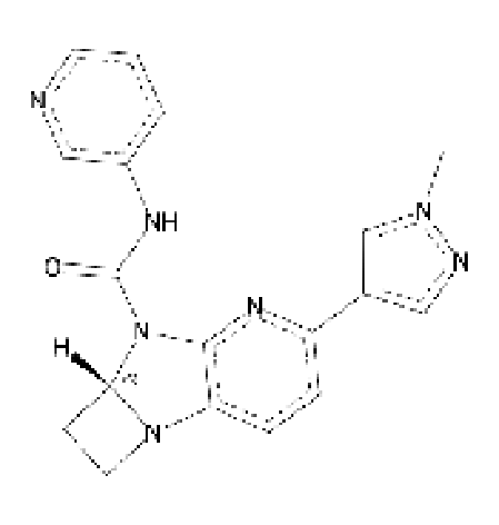 Cn1cc(-c2ccc3c(n2)N(C(=O)Nc2cccnc2)[C@H]2CCN32)cn1